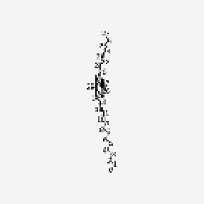 CCCCCCCCCCCCCCCN1C=CN(CCCCCCCCC)C1C